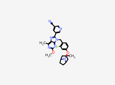 CCN1C2CCC1CC(Oc1ccc(Cn3c(-c4cncc(C#N)c4)nc4c(C)nc(OC)nc43)c(F)c1)C2